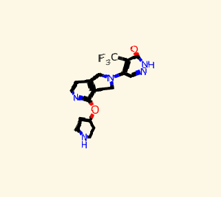 O=c1[nH]ncc(N2Cc3ccnc(OC4CCNCC4)c3C2)c1C(F)(F)F